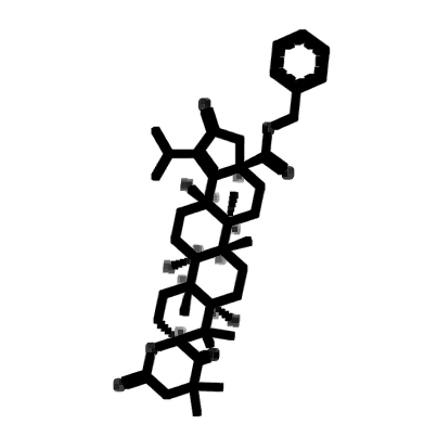 CC(C)C1=C2[C@H]3CC[C@@H]4[C@@]5(C)CC[C@]6(OC(=O)CC(C)(C)C6=O)C(C)(C)[C@@H]5CC[C@@]4(C)[C@]3(C)CC[C@@]2(C(=O)OCc2ccccc2)CC1=O